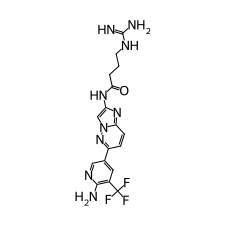 N=C(N)NCCCC(=O)Nc1cn2nc(-c3cnc(N)c(C(F)(F)F)c3)ccc2n1